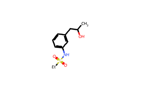 CCS(=O)(=O)Nc1cccc(CC(C)O)c1